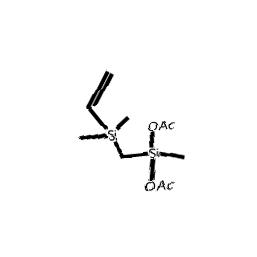 C=C[Si](C)(C)C[Si](C)(OC(C)=O)OC(C)=O